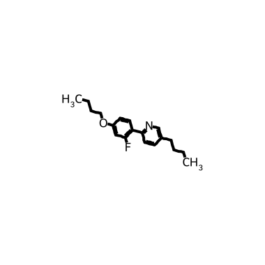 CCCCOc1ccc(-c2ccc(CCCC)cn2)c(F)c1